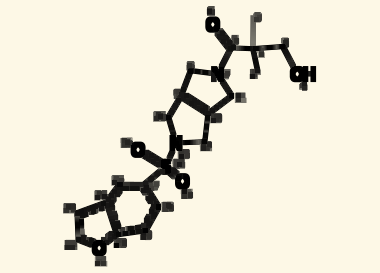 CC(C)(CO)C(=O)N1CC2=C(C1)CN(S(=O)(=O)c1ccc3occc3c1)C2